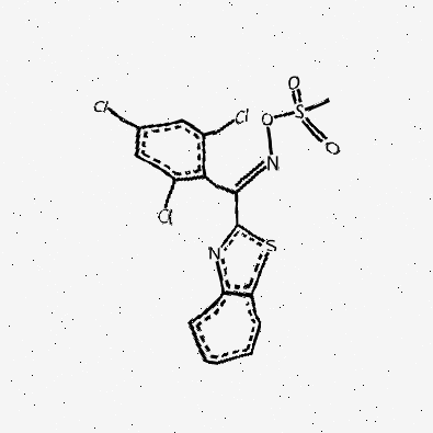 CS(=O)(=O)O/N=C(/c1nc2ccccc2s1)c1c(Cl)cc(Cl)cc1Cl